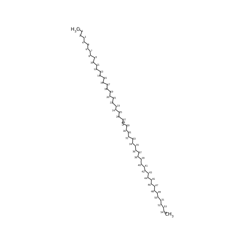 CCCCCCCCCCCCCCCCCCCCCCCCCCCCSCCCCCCCCCCCCCCCCCCCCCCCCCCC